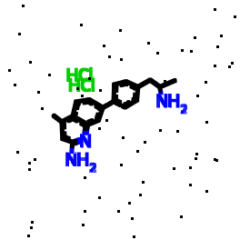 Cc1cc(N)nc2cc(-c3ccc(CC(C)N)cc3)ccc12.Cl.Cl